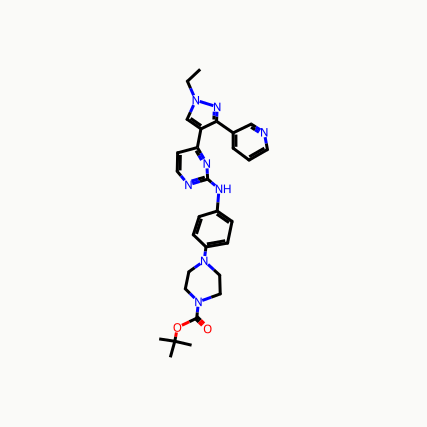 CCn1cc(-c2ccnc(Nc3ccc(N4CCN(C(=O)OC(C)(C)C)CC4)cc3)n2)c(-c2cccnc2)n1